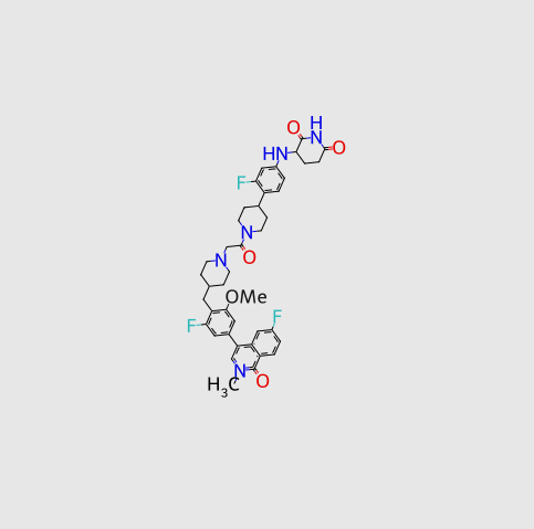 COc1cc(-c2cn(C)c(=O)c3ccc(F)cc23)cc(F)c1CC1CCN(CC(=O)N2CCC(c3ccc(NC4CCC(=O)NC4=O)cc3F)CC2)CC1